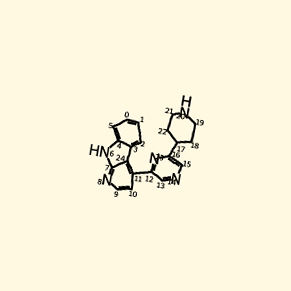 c1ccc2c(c1)[nH]c1nccc(-c3cncc(C4CCNCC4)n3)c12